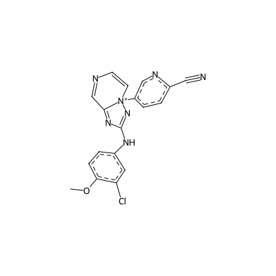 COc1ccc(NC2=N[N+]3(c4ccc(C#N)nc4)C=CN=CC3=N2)cc1Cl